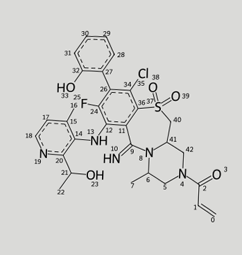 C=CC(=O)N1CC(C)N2C(=N)c3c(Nc4c(C)ccnc4C(C)O)c(F)c(-c4ccccc4O)c(Cl)c3S(=O)(=O)CC2C1